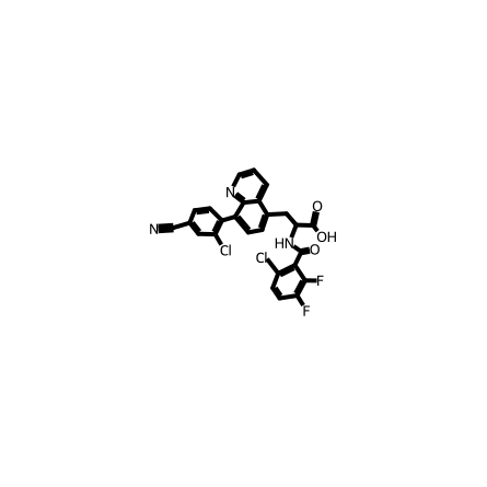 N#Cc1ccc(-c2ccc(CC(NC(=O)c3c(Cl)ccc(F)c3F)C(=O)O)c3cccnc23)c(Cl)c1